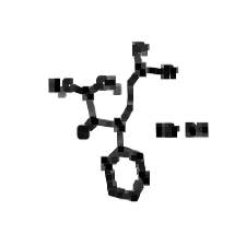 Br.Br.CC(C)N(CCN(C(=O)N(C)C)c1cnccn1)C(C)C